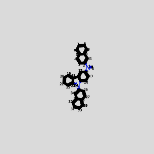 CN(c1ccc2ccccc2c1)c1ccc2c(c1)c1ccccc1n2-c1ccc2ccccc2c1